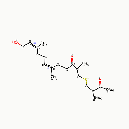 COC(=O)C(CSCC(C)C(=O)CC/C(C)=C\CC/C(C)=C\CO)NC(C)=O